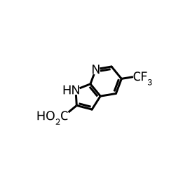 O=C(O)c1cc2cc(C(F)(F)F)cnc2[nH]1